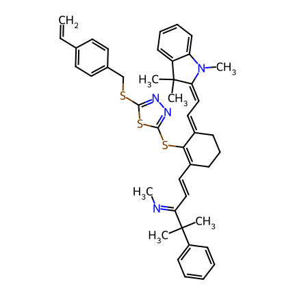 C=Cc1ccc(CSc2nnc(SC3=C(/C=C/C(=N\C)C(C)(C)c4ccccc4)CCC/C3=C\C=C3\N(C)c4ccccc4C3(C)C)s2)cc1